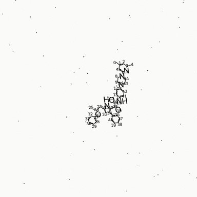 Cc1cc(C)nc(N2CCN(c3ccc(NC(=O)C(=O)c4[nH]c(CC(C)Oc5ccccc5)cc4-c4ccccc4)cc3)CC2)c1